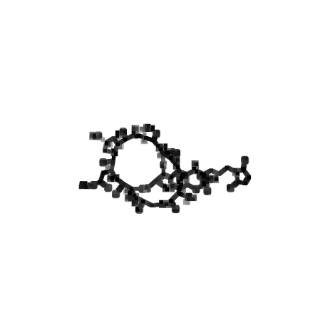 CC[C@H](C)[C@@H]1NC(=O)NC(=O)[C@@H]2Cc3c([nH]c4cc(OP(=O)(O)O)c(NC(=O)CCCN5C(=O)C=CC5=O)cc34)SC[C@H](NC(=O)CNC1=O)C(=O)N[C@@H](CC(=O)OC)C(=O)N1C[C@H](O)C[C@H]1C(=O)N[C@@H]([C@@H](C)CC)C(=O)N2